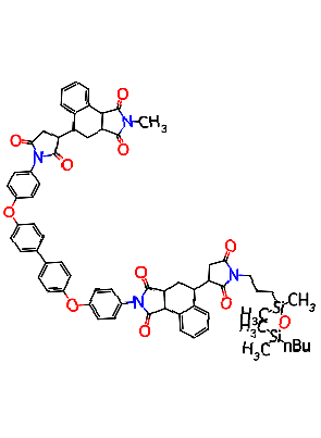 CCCC[Si](C)(C)O[Si](C)(C)CCCN1C(=O)CC(C2CC3C(=O)N(c4ccc(Oc5ccc(-c6ccc(Oc7ccc(N8C(=O)CC(C9CC%10C(=O)N(C)C(=O)C%10c%10ccccc%109)C8=O)cc7)cc6)cc5)cc4)C(=O)C3c3ccccc32)C1=O